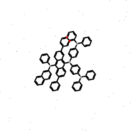 c1ccc(-c2ccc3c(N(c4ccccc4)c4ccc5ccccc5c4)c4cc(-c5ccccc5)ccc4c(N(c4ccc(N(c5ccccc5)c5ccccc5)cc4)c4ccc(N(c5ccccc5)c5ccccc5)cc4)c3c2)cc1